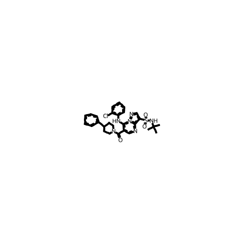 CC(C)(C)NS(=O)(=O)c1cnn2c(Nc3ccccc3Cl)c(C(=O)N3CCC(c4ccccc4)CC3)cnc12